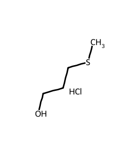 CSCCCO.Cl